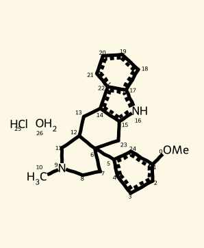 COc1cccc(C23CCN(C)CC2Cc2c([nH]c4ccccc24)C3)c1.Cl.O